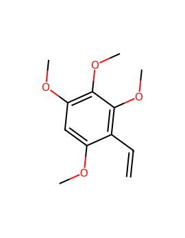 C=Cc1c(OC)cc(OC)c(OC)c1OC